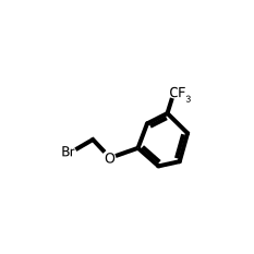 FC(F)(F)c1cccc(OCBr)c1